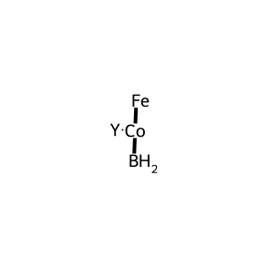 [BH2][Co][Fe].[Y]